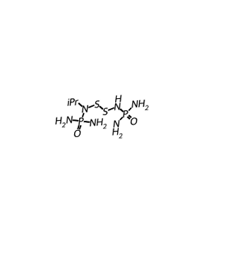 CC(C)N(SSNP(N)(N)=O)P(N)(N)=O